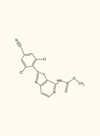 COC(=O)Nc1nccc2nc(-c3c(Cl)cc(C#N)cc3Cl)sc12